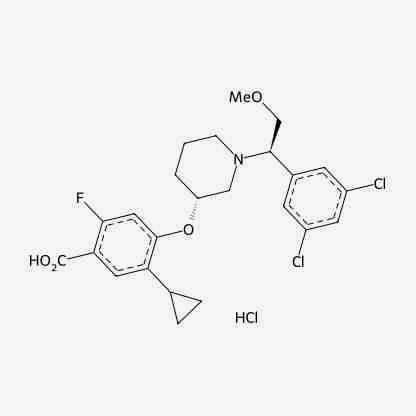 COC[C@@H](c1cc(Cl)cc(Cl)c1)N1CCC[C@@H](Oc2cc(F)c(C(=O)O)cc2C2CC2)C1.Cl